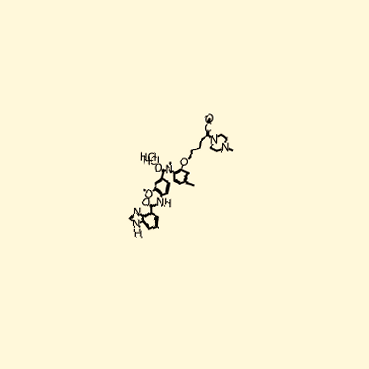 COc1cc(C(=O)N(C)c2ccc(C)cc2OCCCCC(=C=O)N2CCN(C)CC2)ccc1NC(=O)c1cccc2[nH]cnc12.Cl.Cl